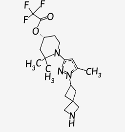 Cc1cc(N2CC[C@@H](OC(=O)C(F)(F)F)CC2(C)C)nn1C1CC2(CNC2)C1